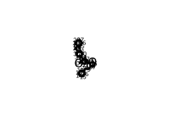 O=C1CC(N2OC=CC2CCc2ccccc2)CN1c1ccc(CN2CCCCC2)cc1